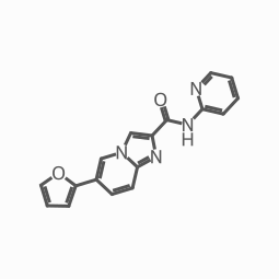 O=C(Nc1ccccn1)c1cn2cc(-c3ccco3)ccc2n1